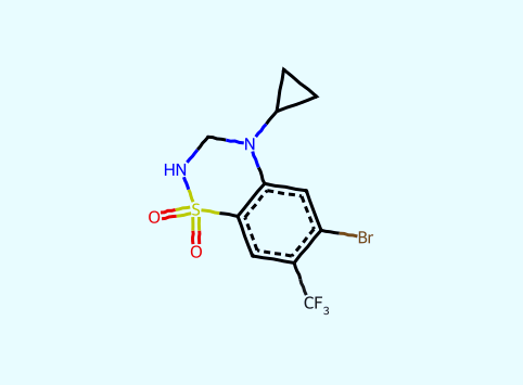 O=S1(=O)NCN(C2CC2)c2cc(Br)c(C(F)(F)F)cc21